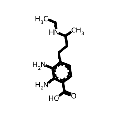 CCNC(C)CCc1ccc(C(=O)O)c(N)c1N